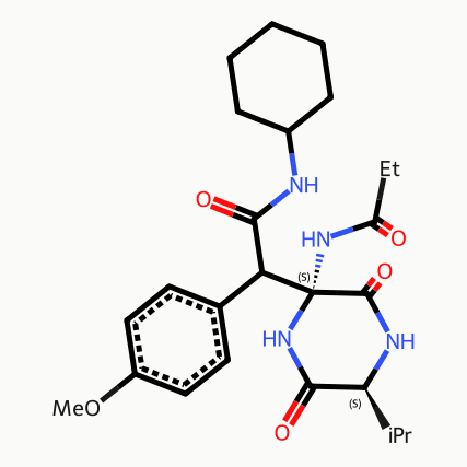 CCC(=O)N[C@@]1(C(C(=O)NC2CCCCC2)c2ccc(OC)cc2)NC(=O)[C@H](C(C)C)NC1=O